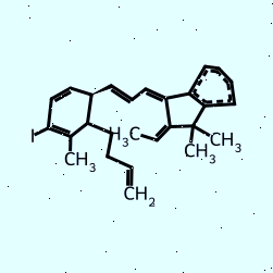 C=CCCC1C(C)=C(I)C=C[C@H]1/C=C/C=C1\C(=C/C)C(C)(C)c2ccccc21